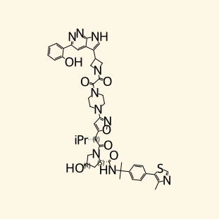 Cc1ncsc1-c1ccc(C(C)(C)NC(=O)[C@@H]2C[C@@H](O)CN2C(=O)[C@@H](c2cc(N3CCN(C(=O)C(=O)N4CC(c5c[nH]c6nnc(-c7ccccc7O)cc56)C4)CC3)no2)C(C)C)cc1